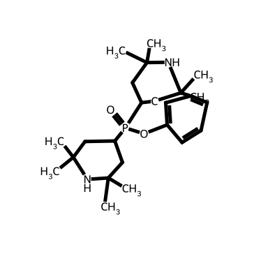 CC1(C)CC(P(=O)(Oc2ccccc2)C2CC(C)(C)NC(C)(C)C2)CC(C)(C)N1